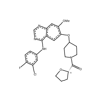 COc1cc2ncnc(Nc3ccc(F)c(Cl)c3)c2cc1OC1CCN(C(=O)[C@@H]2CCCO2)CC1